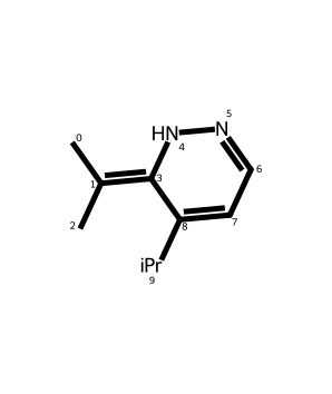 CC(C)=C1NN=CC=C1C(C)C